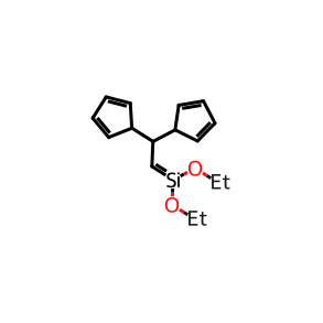 CCO[Si](=CC(C1C=CC=C1)C1C=CC=C1)OCC